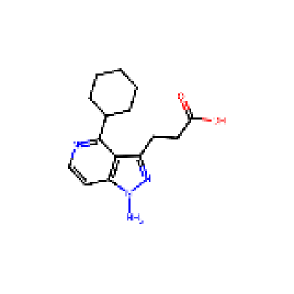 Nn1nc(CCC(=O)O)c2c(C3CCCCC3)nccc21